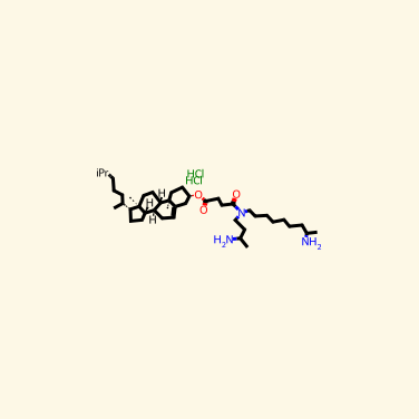 CC(C)CCCC(C)[C@H]1CC[C@H]2[C@@H]3CC=C4C[C@@H](OC(=O)CCC(=O)N(CCCCCCCC(C)N)CCC(C)N)CC[C@]4(C)[C@H]3CC[C@]12C.Cl.Cl